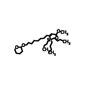 CCC[CH2][Sn]([CH2]CCC)([CH2]CCC)/[C](=C\C(=O)OC)CCCCCCCCOC1CCCCO1